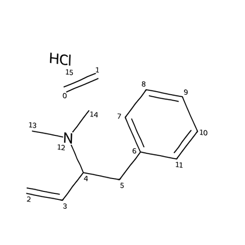 C=C.C=CC(Cc1ccccc1)N(C)C.Cl